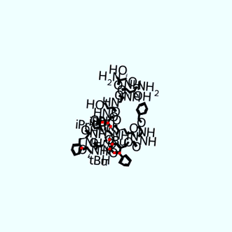 CC[C@H](C)[C@H](NC(=O)[C@@H](CCCN(C(=N)NC(=O)OCc1ccccc1)C(=O)OCc1ccccc1)NC(=O)[C@H](CC(C)C)NC(=O)[C@@H](NC(=O)[C@H](Cc1ccccc1)NC(=O)[C@@H](CC(C)(C)C)NC(=O)[C@@H](CC(C)(C)C)NC(=O)OCc1ccccc1)[C@H](O)C(C)C)C(=O)N[C@H](C(=O)NCC(=O)N[C@H](C(=O)N[C@@H](CO)C(N)=O)[C@H](O)C(N)=O)[C@H](C)O